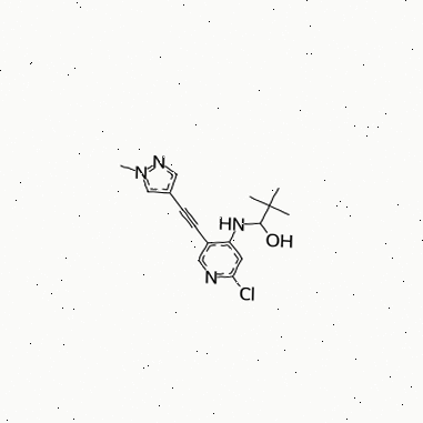 Cn1cc(C#Cc2cnc(Cl)cc2NC(O)C(C)(C)C)cn1